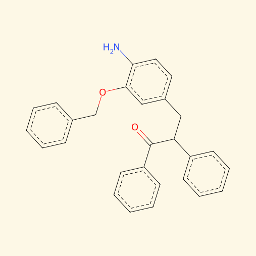 Nc1ccc(CC(C(=O)c2ccccc2)c2ccccc2)cc1OCc1ccccc1